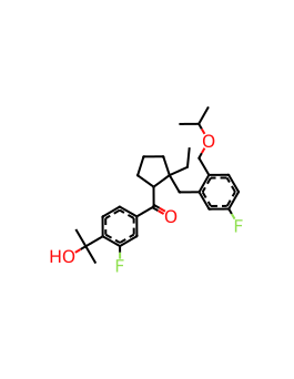 CCC1(Cc2cc(F)ccc2COC(C)C)CCCC1C(=O)c1ccc(C(C)(C)O)c(F)c1